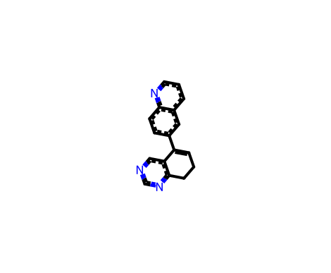 C1=C(c2ccc3ncccc3c2)c2cncnc2CC1